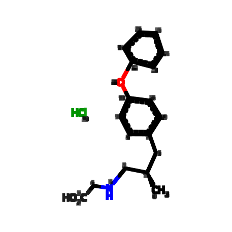 C[C@@H](CNCC(=O)O)Cc1ccc(Oc2ccccc2)cc1.Cl